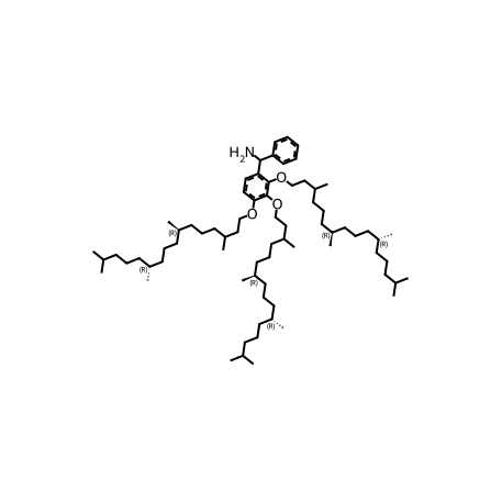 CC(C)CCC[C@@H](C)CCC[C@@H](C)CCCC(C)CCOc1ccc(C(N)c2ccccc2)c(OCCC(C)CCC[C@H](C)CCC[C@H](C)CCCC(C)C)c1OCCC(C)CCC[C@H](C)CCC[C@H](C)CCCC(C)C